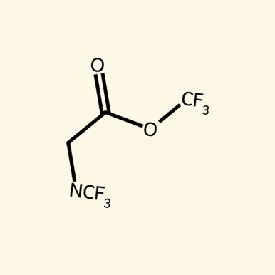 O=C(CNC(F)(F)F)OC(F)(F)F